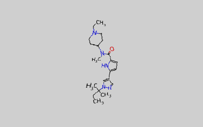 CCN1CCC(N(C)C(=O)c2ccc(-c3cnn(C(C)(C)CC)c3)[nH]2)CC1